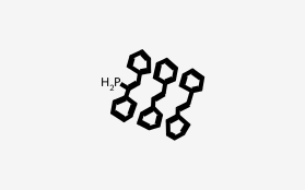 C(=Cc1ccccc1)c1ccccc1.C(=Cc1ccccc1)c1ccccc1.PC(=Cc1ccccc1)c1ccccc1